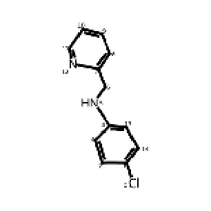 Clc1ccc(NCc2ccccn2)cc1